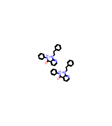 O=C(Nc1ccccc1)c1cccnc1NCCc1ccccc1.O=C(Nc1ccccc1)c1cccnc1NCCc1ccccc1